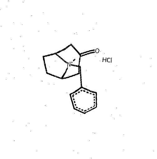 C[N+]1(Cc2ccccc2)C2CCC1CC(=O)C2.Cl